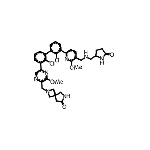 COc1nc(-c2cccc(-c3cccc(-c4cnc(CN5CC6(CNC(=O)C6)C5)c(OC)n4)c3Cl)c2Cl)ccc1CNCC1CCC(=O)N1